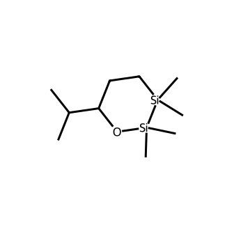 CC(C)C1CC[Si](C)(C)[Si](C)(C)O1